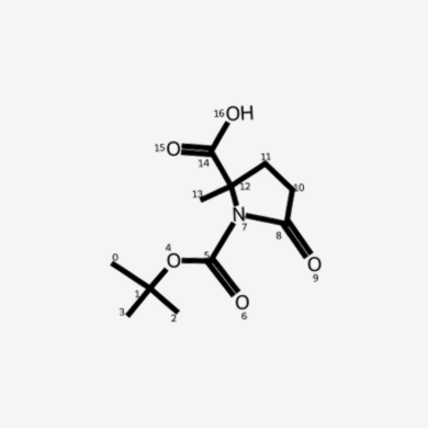 CC(C)(C)OC(=O)N1C(=O)CCC1(C)C(=O)O